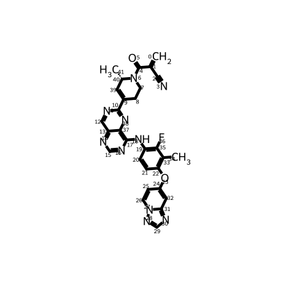 C=C(C#N)C(=O)N1CCC(c2ncc3ncnc(Nc4ccc(Oc5ccn6ncnc6c5)c(C)c4F)c3n2)=C[C@@H]1C